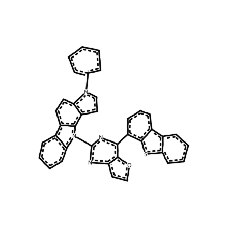 c1ccc(-n2ccc3c2ccc2c4ccccc4n(-c4nc(-c5cccc6c5sc5ccccc56)c5occc5n4)c23)cc1